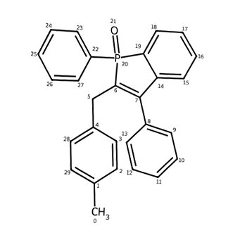 Cc1ccc(CC2=C(c3ccccc3)c3ccccc3P2(=O)c2ccccc2)cc1